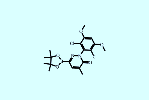 COc1cc(OC)c(Cl)c(-n2nc(B3OC(C)(C)C(C)(C)O3)cc(C)c2=O)c1Cl